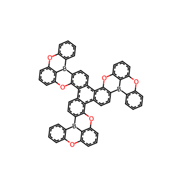 c1ccc2c(c1)Oc1cccc3c1B2c1ccc2c(c1O3)c1ccc3c(c1c1ccc4c(c21)Oc1cccc2c1B4c1ccccc1O2)Oc1cccc2c1B3c1ccccc1O2